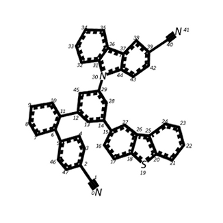 N#Cc1ccc(-c2ccccc2-c2cc(-c3ccc4sc5ccccc5c4c3)cc(-n3c4ccccc4c4cc(C#N)ccc43)c2)cc1